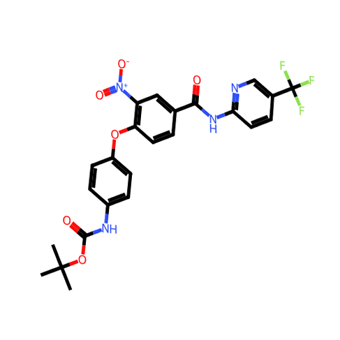 CC(C)(C)OC(=O)Nc1ccc(Oc2ccc(C(=O)Nc3ccc(C(F)(F)F)cn3)cc2[N+](=O)[O-])cc1